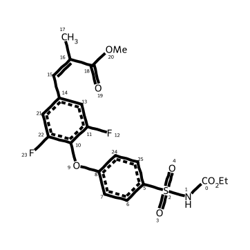 CCOC(=O)NS(=O)(=O)c1ccc(Oc2c(F)cc(C=C(C)C(=O)OC)cc2F)cc1